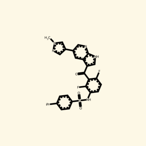 CC(C)c1ccc(S(=O)(=O)Nc2ccc(F)c(C(=O)c3c[nH]c4ncc(-c5cnn(C)c5)cc34)c2F)cc1